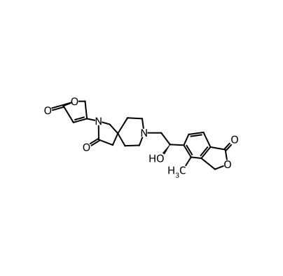 Cc1c([C@@H](O)CN2CCC3(CC2)CC(=O)N(C2=CC(=O)OC2)C3)ccc2c1COC2=O